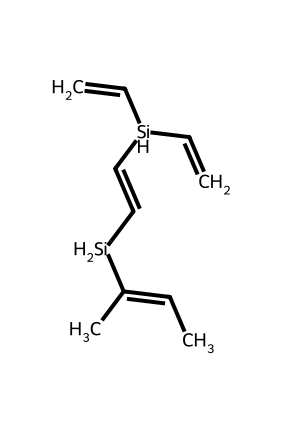 C=C[SiH](C=C)C=C[SiH2]C(C)=CC